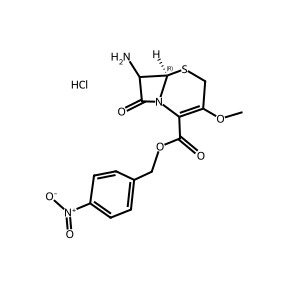 COC1=C(C(=O)OCc2ccc([N+](=O)[O-])cc2)N2C(=O)C(N)[C@H]2SC1.Cl